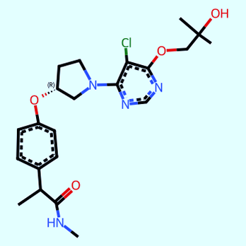 CNC(=O)C(C)c1ccc(O[C@@H]2CCN(c3ncnc(OCC(C)(C)O)c3Cl)C2)cc1